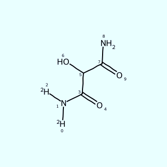 [2H]N([2H])C(=O)C(O)C(N)=O